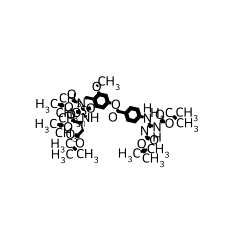 COc1cc(OC(=O)c2ccc(NC(=NC(=O)OC(C)(C)C)NC(=O)OC(C)(C)C)cc2)ccc1CN(C(=O)OC(C)(C)C)S(=O)(=O)N[C@@H](CC(=O)OC(C)(C)C)C(=O)OC(C)(C)C